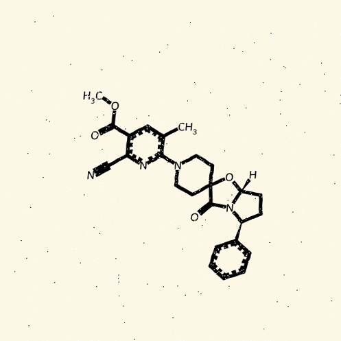 COC(=O)c1cc(C)c(N2CCC3(CC2)O[C@@H]2CC[C@@H](c4ccccc4)N2C3=O)nc1C#N